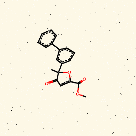 COC(=O)C1=CC(=O)C(C)(c2cccc(-c3ccccc3)c2)O1